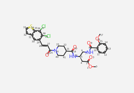 COC(=O)C[C@H](CNC(=O)c1ccccc1OC)NC(=O)C1CCN(C(=O)/C=C/c2cc3ccsc3c(Cl)c2Cl)CC1